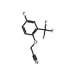 N#CCOc1ccc(F)cc1C(F)(F)F